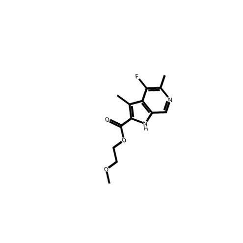 COCCOC(=O)c1[nH]c2cnc(C)c(F)c2c1C